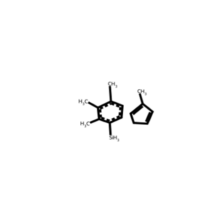 CC1=CCC=C1.Cc1ccc([SiH3])c(C)c1C